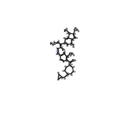 C=N/C(=C(F)\C=N/c1ccc(C(=O)N2CCCN(CC3CC3)CC2)c(C)n1)c1cc(F)c2nc(C)n(C(C)C)c2c1